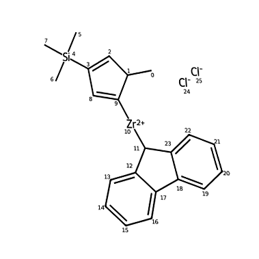 CC1C=C([Si](C)(C)C)C=[C]1[Zr+2][CH]1c2ccccc2-c2ccccc21.[Cl-].[Cl-]